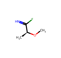 CO[C@@H](C)C(=N)F